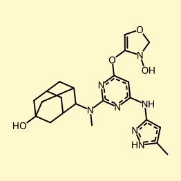 Cc1cc(Nc2cc(OC3=COCN3O)nc(N(C)C3C4CC5CC3CC(O)(C5)C4)n2)n[nH]1